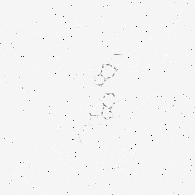 Cn1nc(-c2cnc3[nH]cc(C(=O)NCC4CC4)c3n2)c2ccc(CI)cc21